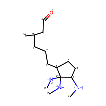 CNC1CCC(CCCC(C)CC=O)C1(NC)NC